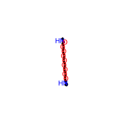 CCNC(=O)CCOCCOCCOCCOCCOCCOCCOCCOCCNC(C)(C)C